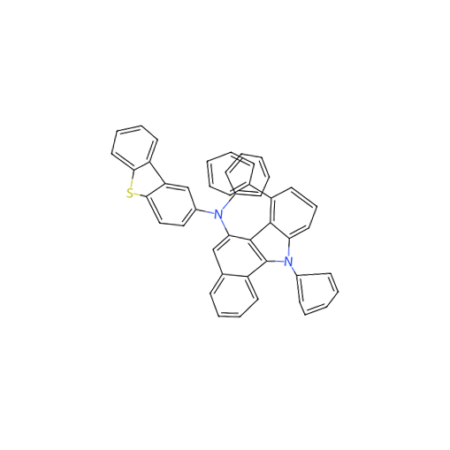 c1ccc(-c2cccc3c2c2c(N(c4ccccc4)c4ccc5sc6ccccc6c5c4)cc4ccccc4c2n3-c2ccccc2)cc1